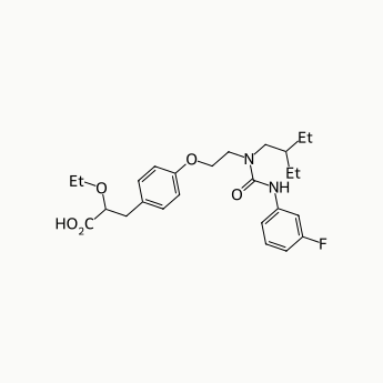 CCOC(Cc1ccc(OCCN(CC(CC)CC)C(=O)Nc2cccc(F)c2)cc1)C(=O)O